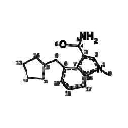 Cn1cc(C(N)=O)c2c(CC3CCCC3)cccc21